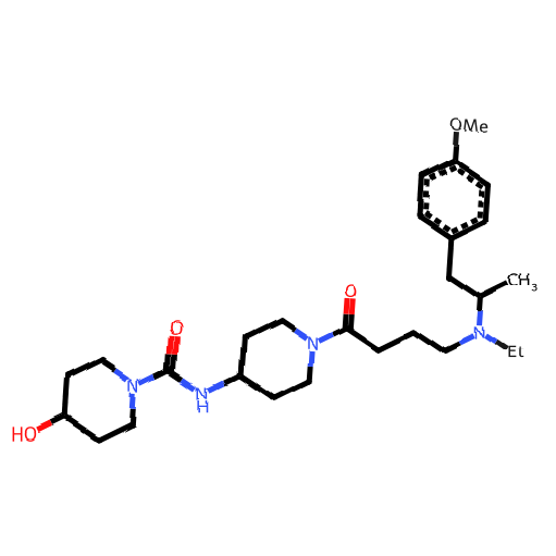 CCN(CCCC(=O)N1CCC(NC(=O)N2CCC(O)CC2)CC1)C(C)Cc1ccc(OC)cc1